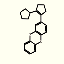 c1ccc2c(c1)Sc1ccc(C3=C(C4CCCC4)CCC3)cc1S2